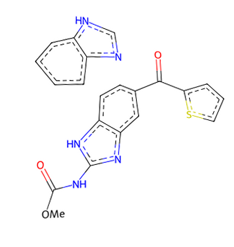 COC(=O)Nc1nc2cc(C(=O)c3cccs3)ccc2[nH]1.c1ccc2[nH]cnc2c1